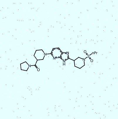 CCCS(=O)(=O)N1CCCC(c2nc3ccc(N4CCCC(C(=O)N5CCCC5)C4)nc3[nH]2)C1